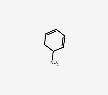 O=[N+]([O-])C1[C]C=CC=C1